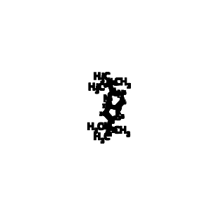 CC(C)(C)c1ncc2sc(C(C)(C)C)cc2n1